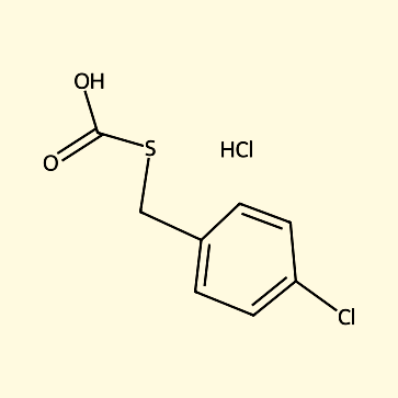 Cl.O=C(O)SCc1ccc(Cl)cc1